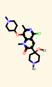 CCOC1(c2cc3c(Cl)nc(C)c(OC4CCN(C)CC4)c3n(C)c2=O)CCN(C(C)=O)CC1